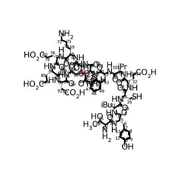 CC[C@H](C)[C@H](NC(=O)[C@H](Cc1ccc(O)cc1)NC(=O)[C@@H](N)[C@@H](C)O)C(=O)N[C@@H](CS)C(=O)N[C@@H](CCC(=O)O)C(=O)N[C@H](C(=O)N[C@@H](Cc1ccccc1)C(=O)N[C@@H](CC(=O)O)C(=O)N[C@@H](CCC(N)=O)C(=O)N[C@@H](CCCCN)C(=O)N[C@@H](CCC(=O)O)C(=O)N[C@@H](CCC(=O)O)C(=O)N[C@@H](CC(=O)O)C(=O)N[C@@H](CC(=O)O)C(=O)O)C(C)C